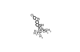 CC[C@H](C)N(Cc1nc2ccc3cc4c(cc3c2[nH]1)OCc1cc(Cl)ccc1-4)C(=O)OC(C)(C)C